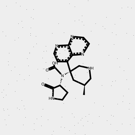 C[C@@H]1CNC[C@@](c2ccnc3nccnc23)(N(C(=O)O)[C@@H]2CCNC2=O)C1